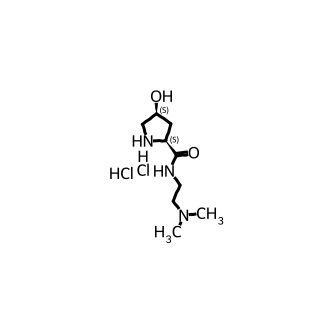 CN(C)CCNC(=O)[C@@H]1C[C@H](O)CN1.Cl.Cl